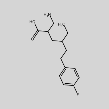 CCC(CCc1ccc(F)cc1)CC(CN)C(=O)O